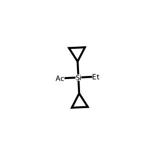 CC[Si](C(C)=O)(C1CC1)C1CC1